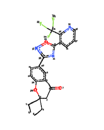 CCC1(CC)CC(=O)c2cc(-c3noc(-c4cccnc4C(F)(F)F)n3)ccc2O1